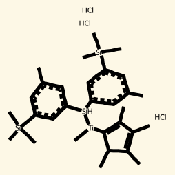 CC1=C(C)C(C)[C]([Ti]([CH3])[SiH](c2cc(C)cc([Si](C)(C)C)c2)c2cc(C)cc([Si](C)(C)C)c2)=C1C.Cl.Cl.Cl